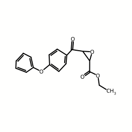 CCOC(=O)C1OC1C(=O)c1ccc(Oc2ccccc2)cc1